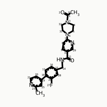 CC(=O)N1CCN(c2ccc(C(=O)NCc3ccc(-c4ccnc(C)c4)c(F)c3)cn2)CC1